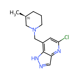 C[C@H]1CCCN(Cc2cc(Cl)nc3cn[nH]c23)C1